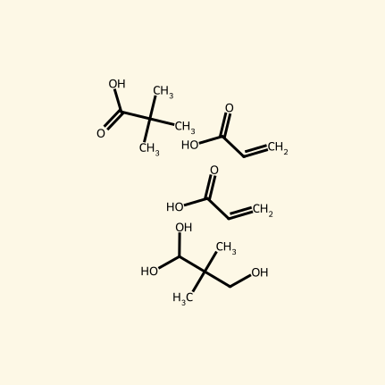 C=CC(=O)O.C=CC(=O)O.CC(C)(C)C(=O)O.CC(C)(CO)C(O)O